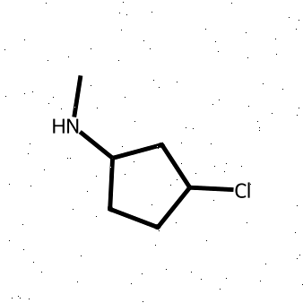 CNC1CCC(Cl)C1